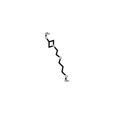 CC(C)(C)OCCCOCCN1CC(OC(C)(C)C)C1